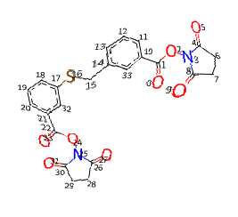 O=C(ON1C(=O)CCC1=O)c1cccc(CSc2cccc(C(=O)ON3C(=O)CCC3=O)c2)c1